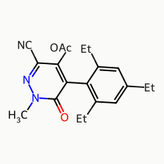 CCc1cc(CC)c(-c2c(OC(C)=O)c(C#N)nn(C)c2=O)c(CC)c1